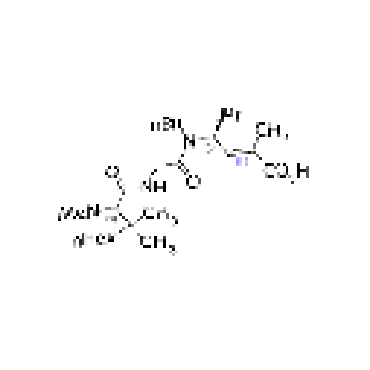 CCCCCCC(C)(C)[C@H](NC)C(=O)NCC(=O)N(CCCC)[C@H](/C=C(\C)C(=O)O)C(C)C